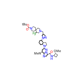 CNc1cc(N2CCc3c2cccc3-n2cc(CN3CCC4(CCN(C(=O)OC(C)(C)C)CC4)C(F)(F)C3)cn2)nn2c(C(=O)N[C@@H]3CC[C@H]3OC)cnc12